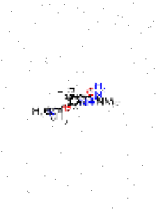 CNC(N)=NC(=O)c1cc2c(C)cc(OCCCN(C)C)cc2[nH]1